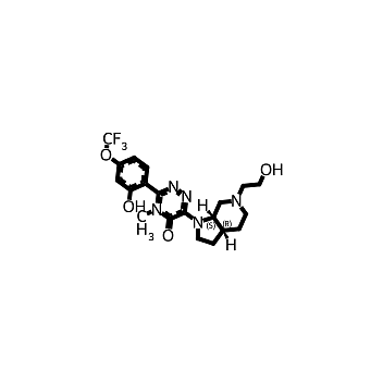 Cn1c(-c2ccc(OC(F)(F)F)cc2O)nnc(N2CC[C@H]3CCN(CCO)C[C@H]32)c1=O